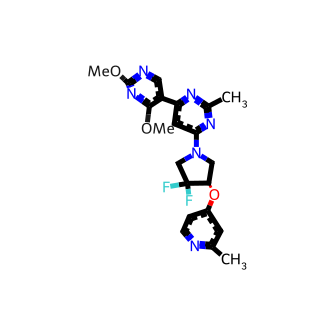 COc1ncc(-c2cc(N3C[C@H](Oc4ccnc(C)c4)C(F)(F)C3)nc(C)n2)c(OC)n1